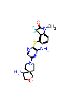 CN1C(=O)C(F)(F)c2c(Sc3ncc(N4CCC5(CC4)COCC5N)nc3N)cccc21